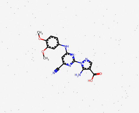 COc1ccc(Nc2cc(C#N)nc(-n3ncc(C(=O)O)c3N)n2)cc1OC